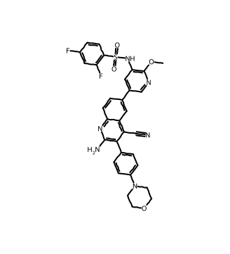 COc1ncc(-c2ccc3nc(N)c(-c4ccc(N5CCOCC5)cc4)c(C#N)c3c2)cc1NS(=O)(=O)c1ccc(F)cc1F